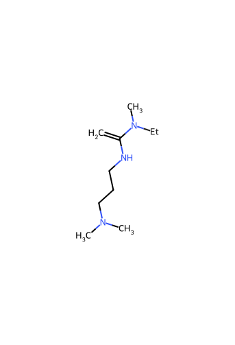 C=C(NCCCN(C)C)N(C)CC